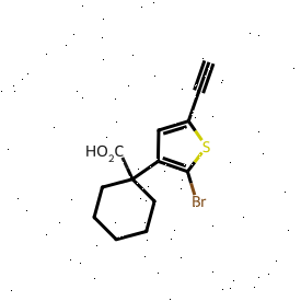 C#Cc1cc(C2(C(=O)O)CCCCC2)c(Br)s1